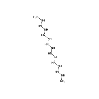 NNNNNNNNNNNNNNN